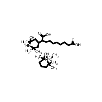 CC1(C)CC(C(CCCCCCCC(=O)O)C(=O)O)CC(C)(C)N1.CO[N+]1([O])C(C)(C)CCCC1(C)C